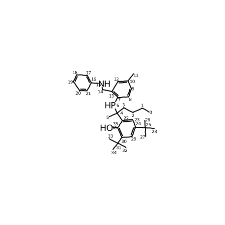 CCCCC(C)(Pc1ccc(C)cc1CNc1ccccc1)c1cc(C(C)(C)C)cc(C(C)(C)C)c1O